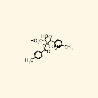 Cc1ccc(C(=O)O[C@](C(=O)O)(C(=O)c2ccc(C)cc2)C(O)C(=O)O)cc1